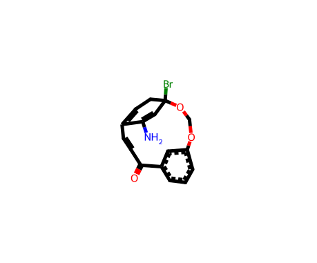 NC1=CC2(Br)CC=C1C=CC(=O)c1cccc(c1)OCO2